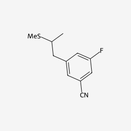 CSC(C)Cc1cc(F)cc(C#N)c1